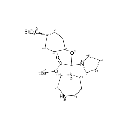 CCOC(=O)[C@H]1CC[C@H](OC(C(=O)OC(C)(C)C)(N2CCCC2)N2CCCNCC2)CC1